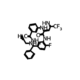 C=C(N)c1cccc(N/C(=C\C(=N)C(F)(F)F)C(=O)Nc2cc(C(NCC3CC3)c3ccccc3)ccc2F)c1